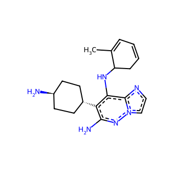 CC1=CC=CCC1Nc1c2nccn2nc(N)c1[C@H]1CC[C@H](N)CC1